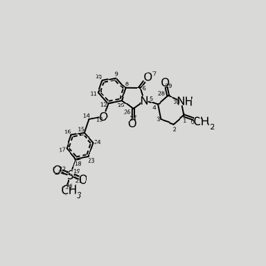 C=C1CCC(N2C(=O)c3cccc(OCc4ccc(S(C)(=O)=O)cc4)c3C2=O)C(=O)N1